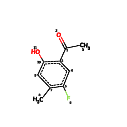 CC(=O)c1cc(F)c(C)cc1O